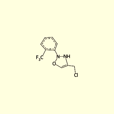 FC(F)(F)c1ccccc1N1NC(CCl)=CO1